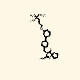 CCCCC1=NC2(CCCC2)C(=O)N1Cc1ccc(-c2cccc(OCCCC(C)(C)C(=O)O)c2)cc1